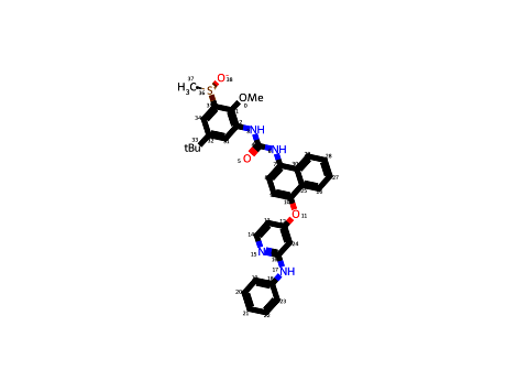 COc1c(NC(=O)Nc2ccc(Oc3ccnc(Nc4ccccc4)c3)c3ccccc23)cc(C(C)(C)C)cc1[S@+](C)[O-]